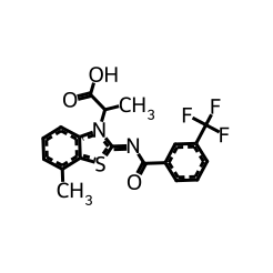 Cc1cccc2c1sc(=NC(=O)c1cccc(C(F)(F)F)c1)n2C(C)C(=O)O